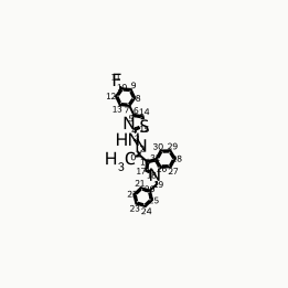 CC(=NNc1nc(-c2ccc(F)cc2)cs1)c1cn(Cc2ccccc2)c2ccccc12